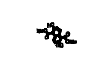 COC(=O)c1c(O)ccc2c(C(=O)OC)c(O)ccc12